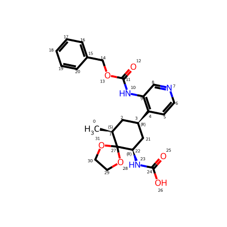 C[C@H]1C[C@@H](c2ccncc2NC(=O)OCc2ccccc2)C[C@@H](NC(=O)O)C12OCCO2